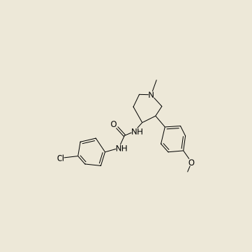 COc1ccc(C2CN(C)CCC2NC(=O)Nc2ccc(Cl)cc2)cc1